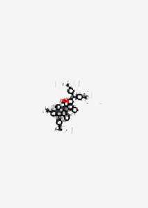 CC(C)c1ccc(N(c2ccc(C(C)C)cc2)c2ccc3c4c(c5ccccc5c3c2)-c2c(cc(N(c3ccc(C(C)C)cc3)c3ccc(C(C)C)cc3)c3ccccc23)C42c3ccccc3-c3ccccc32)cc1